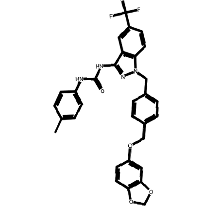 Cc1ccc(NC(=O)Nc2nn(Cc3ccc(COc4ccc5c(c4)OCO5)cc3)c3ccc(C(F)(F)F)cc23)cc1